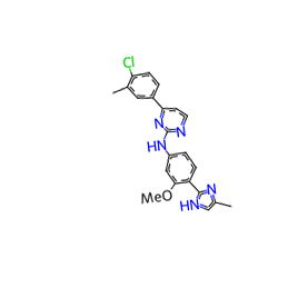 COc1cc(Nc2nccc(-c3ccc(Cl)c(C)c3)n2)ccc1-c1nc(C)c[nH]1